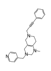 CN1CN(Cc2ccncc2)CC2=C1CCN(CC#Cc1ccccc1)C2